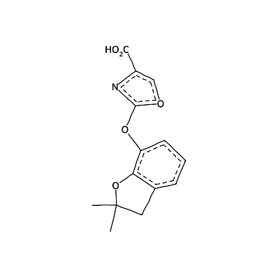 CC1(C)Cc2cccc(Oc3nc(C(=O)O)co3)c2O1